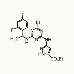 CCOC(=O)c1cc(Nc2nc(CC)nc(NC(C)c3ccc(F)cc3F)n2)n[nH]1